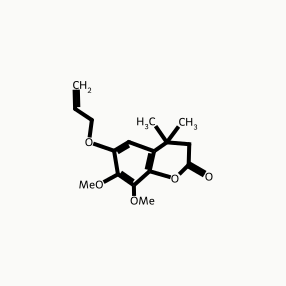 C=CCOc1cc2c(c(OC)c1OC)OC(=O)CC2(C)C